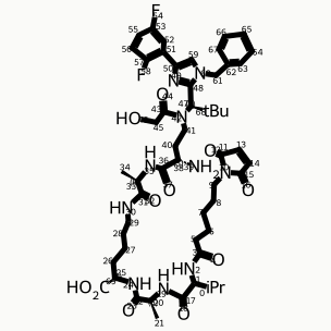 CC(C)C(NC(=O)CCCCCN1C(=O)C=CC1=O)C(=O)N[C@@H](C)C(=O)N[C@@H](CCCCNC(=O)[C@@H](C)NC(=O)[C@@H](N)CCN(C(=O)CO)[C@@H](c1nc(-c2cc(F)ccc2F)cn1Cc1ccccc1)C(C)(C)C)C(=O)O